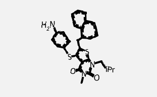 CC(C)Cn1c(=O)n(C)c(=O)c2c(Sc3ccc(N)cc3)c(Cc3cccc4ccccc34)sc21